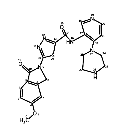 COc1ccc2c(c1)CN(c1nnc(C(=O)Nc3cnccc3N3CCNCC3)s1)C2=O